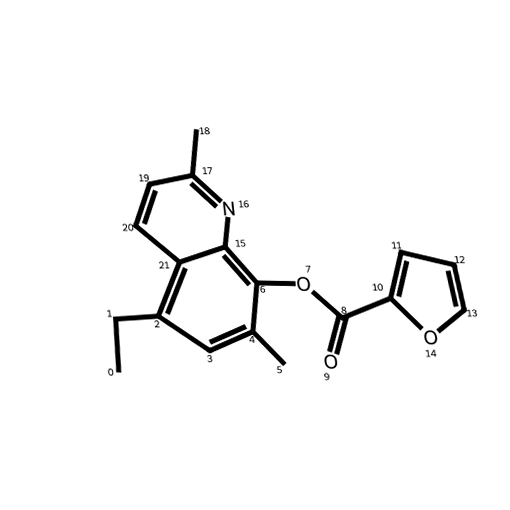 CCc1cc(C)c(OC(=O)c2ccco2)c2nc(C)ccc12